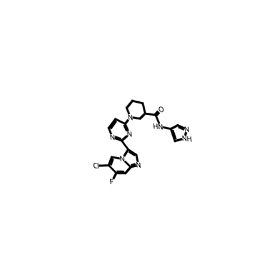 O=C(Nc1cn[nH]c1)C1CCCN(c2ccnc(-c3cnc4cc(F)c(Cl)cn34)n2)C1